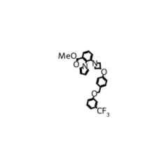 COC(=O)c1cccc(N2CC(Oc3ccc(COc4cccc(C(F)(F)F)c4)cc3)C2)c1-n1cccc1